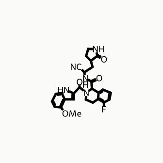 COc1cccc2[nH]c(C(O)N3CCc4c(F)cccc4C3C(=O)NC(C#N)CC3CCNC3=O)cc12